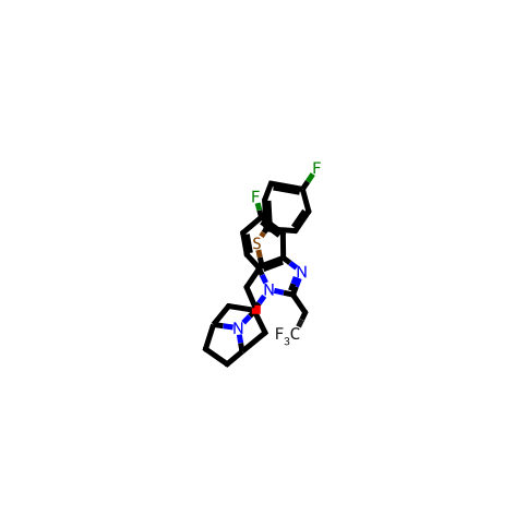 Fc1ccc(SCCCN2C3CCC2CC(n2c(CC(F)(F)F)nc4cc(F)ccc42)C3)cc1